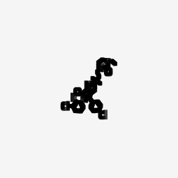 CCN1CCN(CCC(C)(C)n2cc3c(n2)C(=O)N(c2cccc(Cl)c2F)C3c2ccc(Cl)cc2)C1=O